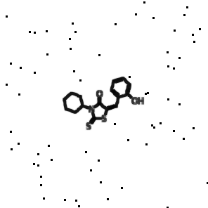 O=C1/C(=C\c2ccccc2O)SC(=S)N1C1CCCCC1